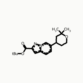 CC(C)(C)OC(=O)c1cc2ccc(C3CCOC(C)(C)C3)cn2n1